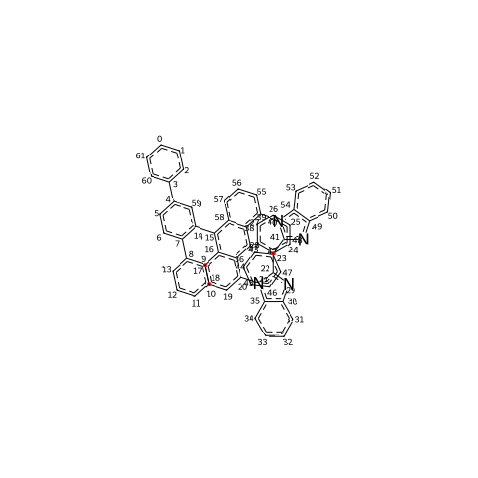 c1ccc(-c2ccc(-c3ccccc3)c(-c3c4cccc(-n5c(-c6ccccc6)nc6ccccc65)c4cc4c(-n5c(-c6ccccc6)nc6ccccc65)cccc34)c2)cc1